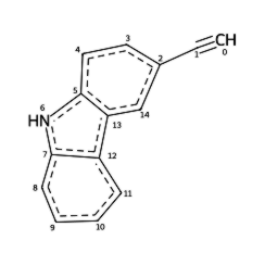 C#Cc1ccc2[nH]c3ccccc3c2c1